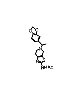 CC(=O)Nc1nc2c(s1)CN(C(C)c1ccc3c(c1)OCO3)CC2